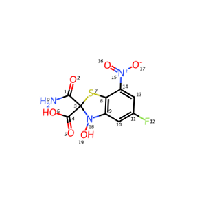 NC(=O)C1(C(=O)O)Sc2c(cc(F)cc2[N+](=O)[O-])N1O